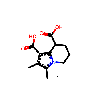 Cc1c(C(=O)O)c2n(c1C)CCCC2C(=O)O